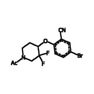 CC(=O)N1CCC(Oc2ccc(Br)cc2C#N)C(F)(F)C1